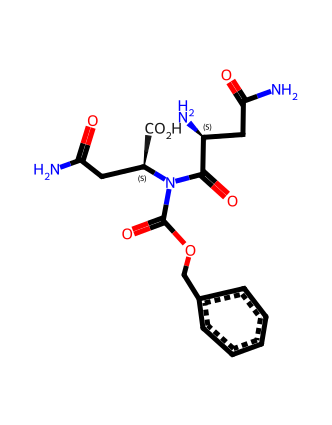 NC(=O)C[C@H](N)C(=O)N(C(=O)OCc1ccccc1)[C@@H](CC(N)=O)C(=O)O